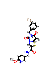 CCOc1ccc(CNC(=O)c2cn3c(=O)n(Cc4cccc(Br)c4)c(=O)c(C)c3s2)cn1